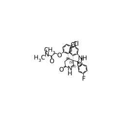 CN(C)C(=O)COc1ccc(Cl)cc1[C@H]1CC(=O)N[C@@H](c2cc(F)ccc2F)[C@]12C(=O)Nc1cc(Cl)ccc12